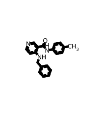 Cc1ccc(NC(=O)c2cnccc2NCc2ccccc2)cc1